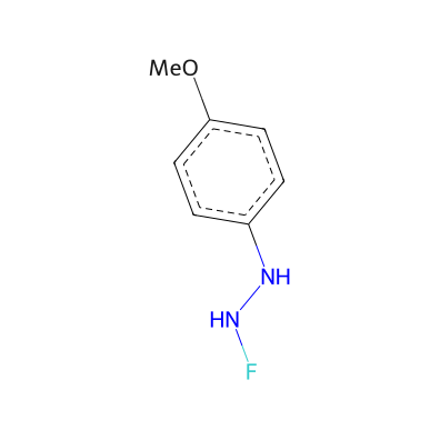 COc1ccc(NNF)cc1